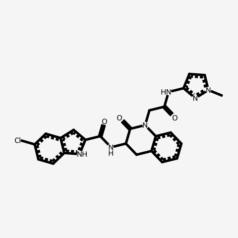 Cn1ccc(NC(=O)CN2C(=O)C(NC(=O)c3cc4cc(Cl)ccc4[nH]3)Cc3ccccc32)n1